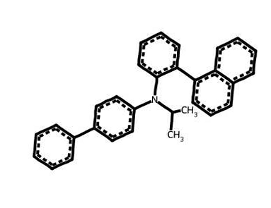 CC(C)N(c1ccc(-c2ccccc2)cc1)c1ccccc1-c1cccc2ccccc12